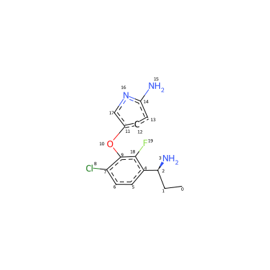 CC[C@H](N)c1ccc(Cl)c(Oc2ccc(N)nc2)c1F